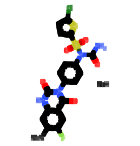 CNc1cc2[nH]c(=O)n(-c3ccc(N(C(N)=O)S(=O)(=O)c4ccc(Cl)s4)cc3)c(=O)c2cc1F.[NaH]